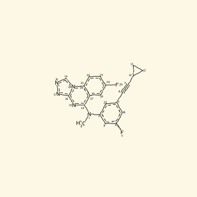 CN(c1cc(F)cc(C#CC2CC2)c1)c1nc2nncn2c2ccc(F)cc12